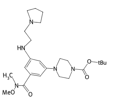 CON(C)C(=O)c1cc(NCCN2CCCC2)cc(N2CCN(C(=O)OC(C)(C)C)CC2)c1